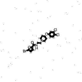 O=C(NCCN1CCC(Oc2ccc(Cl)c(Cl)c2)CC1)c1ccc(Br)o1